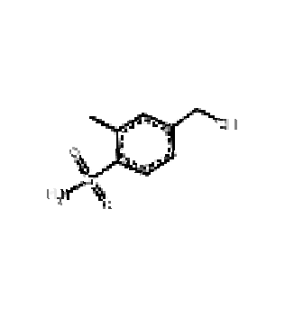 Cc1cc(CO)ccc1S(N)(=O)=O